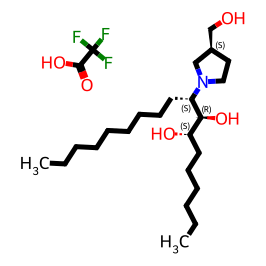 CCCCCCCCC[C@@H]([C@@H](O)[C@@H](O)CCCCCC)N1CC[C@H](CO)C1.O=C(O)C(F)(F)F